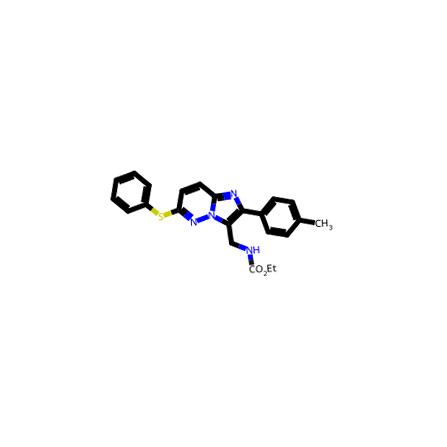 CCOC(=O)NCc1c(-c2ccc(C)cc2)nc2ccc(Sc3ccccc3)nn12